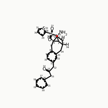 NN([C@H]1[C@@H]2CC[C@H]1Cc1ccc(CC(=O)Cc3ccccc3)cc1C2)S(=O)(=O)c1cccs1